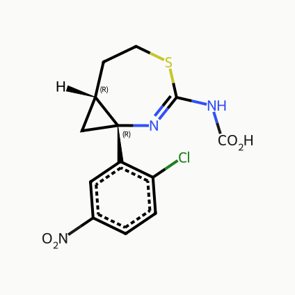 O=C(O)NC1=N[C@]2(c3cc([N+](=O)[O-])ccc3Cl)C[C@@H]2CCS1